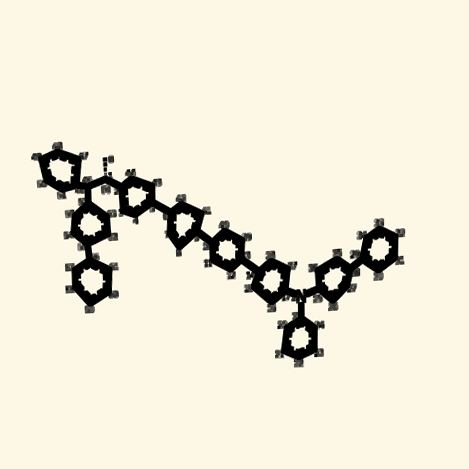 C[C@H](c1ccc(-c2ccc(-c3ccc(-c4ccc(N(c5ccccc5)c5ccc(-c6ccccc6)cc5)cc4)cc3)cc2)cc1)C(c1ccccc1)c1ccc(-c2ccccc2)cc1